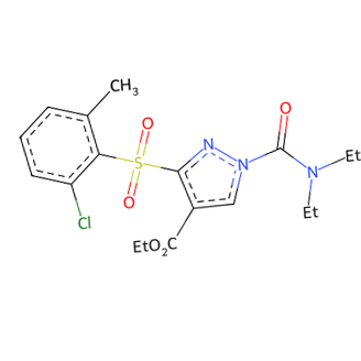 CCOC(=O)c1cn(C(=O)N(CC)CC)nc1S(=O)(=O)c1c(C)cccc1Cl